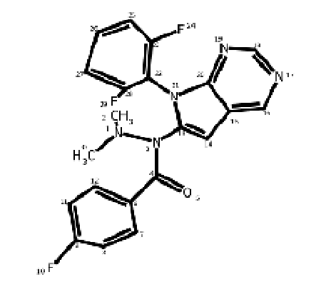 CN(C)N(C(=O)c1ccc(F)cc1)c1cc2cncnc2n1-c1c(F)cccc1F